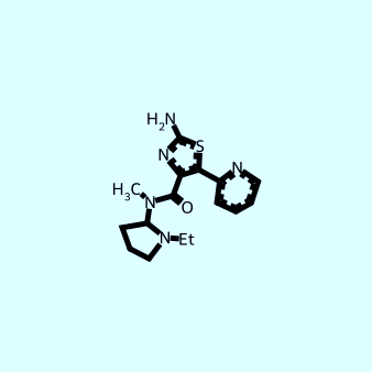 CCN1CCCC1N(C)C(=O)c1nc(N)sc1-c1ccccn1